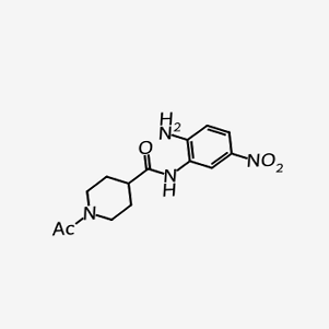 CC(=O)N1CCC(C(=O)Nc2cc([N+](=O)[O-])ccc2N)CC1